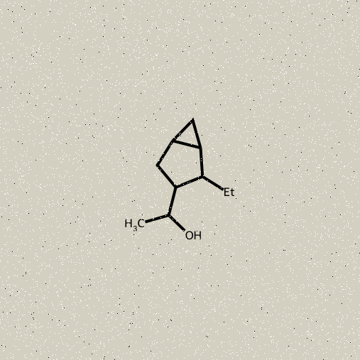 CCC1C(C(C)O)CC2CC21